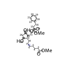 COC(=O)CCC/C=C\CC1[C@@H](COP(=O)(CCc2ccccc2)OC)[C@H](O)C[C@@H]1O